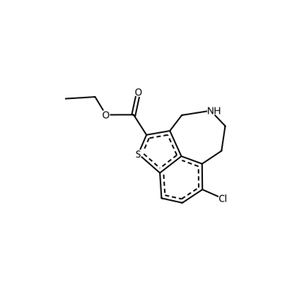 CCOC(=O)c1sc2ccc(Cl)c3c2c1CNCC3